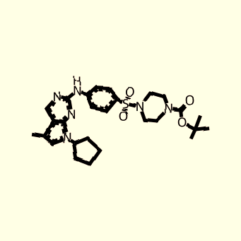 Cc1cn(C2CCCC2)c2nc(Nc3ccc(S(=O)(=O)N4CCN(C(=O)OC(C)(C)C)CC4)cc3)ncc12